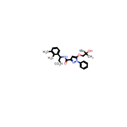 Cc1cccc(C(CC(=O)O)NC(=O)c2cc(OCC(C)(O)C(C)(C)C)n(-c3ccccc3)n2)c1C